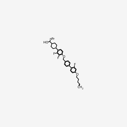 C=CCCCOc1ccc(-c2ccc(COc3ccc(C4CCC(C(O)CCC)CC4)c(F)c3F)cc2)c(F)c1